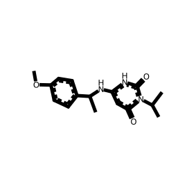 COc1ccc(C(C)Nc2cc(=O)n(C(C)C)c(=O)[nH]2)cc1